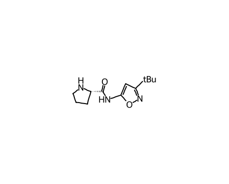 CC(C)(C)c1cc(NC(=O)[C@@H]2CCCN2)on1